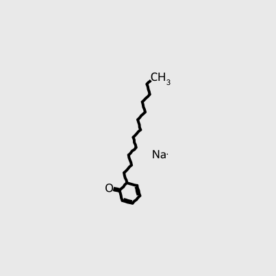 CCCCCCCCCCCCC1C=CC=CC1=O.[Na]